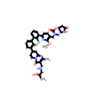 COc1nc(-c2cccc(-c3cccc(-c4ccn5c(=O)c(CNCC(C)O)c(C)nc5c4)c3Cl)c2Cl)ccc1CN(C[C@@H]1CCC(=O)N1)C(=O)O